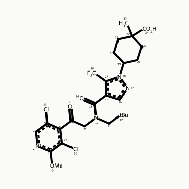 COc1ncc(Cl)c(C(=O)CN(CC(C)(C)C)C(=O)c2cnn(C3CCC(C)(C(=O)O)CC3)c2C(F)(F)F)c1Cl